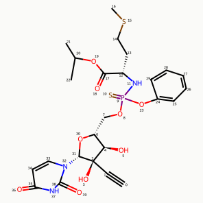 C#C[C@@]1(O)[C@H](O)[C@@H](COP(=S)(N[C@@H](CCSC)C(=O)OC(C)C)Oc2ccccc2)O[C@H]1n1ccc(=O)[nH]c1=O